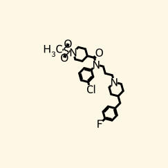 CS(=O)(=O)N1CCC(C(=O)N(CCCN2CCC(Cc3ccc(F)cc3)CC2)c2cccc(Cl)c2)CC1